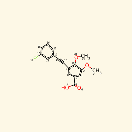 COc1cc(C(=O)O)cc(C#Cc2cccc(F)c2)c1OC